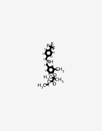 CCOC(=O)C(C)(C)Oc1ccc(CNCc2ccc(C(F)(F)F)cc2)cc1C